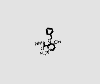 CNC(=O)C1=C(OCc2ccccc2)C(O)C=CN1N